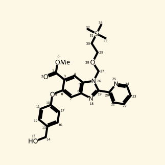 COC(=O)c1cc2c(cc1Oc1ccc(CO)cc1)nc(-c1ccccn1)n2COCC[Si](C)(C)C